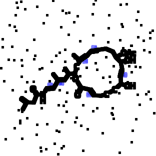 C=C(C)CC(=O)N/C=C/C(C)=C/C(C)C1C/C(C)=C/C=C/CCC(OC(C)=O)C(O)/C=C/C(O)CCC/C=C/C(=O)O1